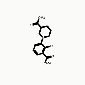 CCc1c(C(=O)OC)cccc1N1CCCC(C(=O)OC)C1